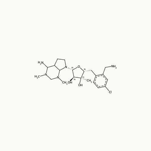 CN1CN(C)C2C(CCN2[C@@H]2O[C@H](Cc3ccc(Cl)cc3CN)[C@@](C)(O)[C@H]2O)C1N